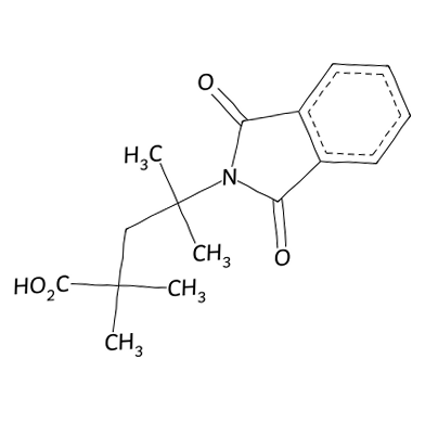 CC(C)(CC(C)(C)N1C(=O)c2ccccc2C1=O)C(=O)O